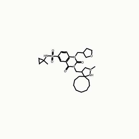 CN1CC(Cn2c(=O)c3cc(S(=O)(=O)NC4(C)CC4)ccc3n(CC3CCOC3)c2=O)C2(CCCCCCCC2)N1